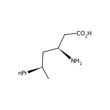 CCC[C@H](C)C[C@H](N)CC(=O)O